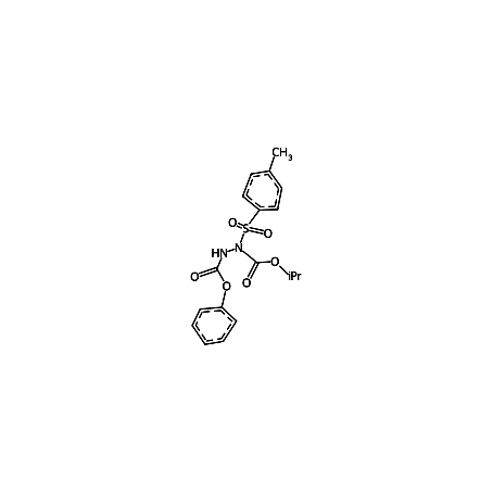 Cc1ccc(S(=O)(=O)N(NC(=O)Oc2ccccc2)C(=O)OC(C)C)cc1